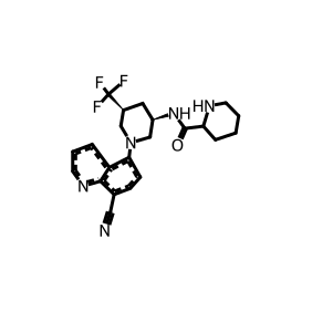 N#Cc1ccc(N2C[C@H](NC(=O)C3CCCCN3)C[C@H](C(F)(F)F)C2)c2cccnc12